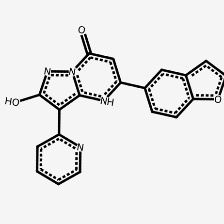 O=c1cc(-c2ccc3occc3c2)[nH]c2c(-c3ccccn3)c(O)nn12